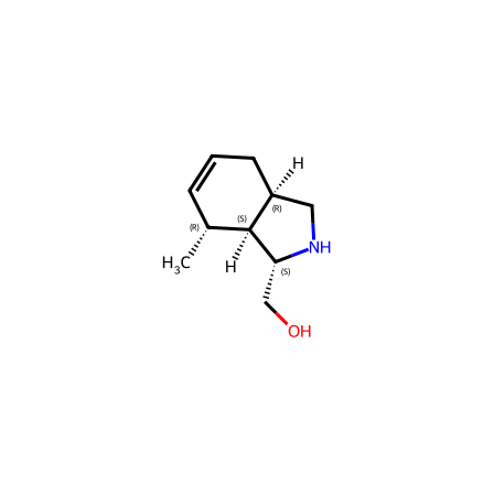 C[C@@H]1C=CC[C@H]2CN[C@H](CO)[C@H]21